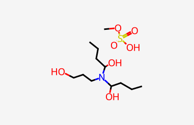 CCCC(O)N(CCCO)C(O)CCC.COS(=O)(=O)O